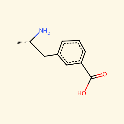 C[C@H](N)Cc1cccc(C(=O)O)c1